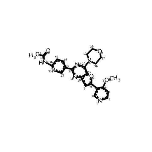 COc1ccncc1-c1cc2nc(-c3ccc(NC(C)=O)nc3)nc(N3CCOCC3)c2o1